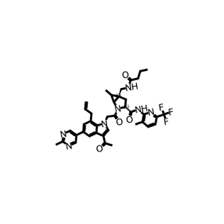 C=CCc1cc(-c2cnc(C)nc2)cc2c(C(C)=O)cn(CC(=O)N3C4C(C)[C@]4(CNC(=O)CCC)C[C@H]3C(=O)Nc3nc(C(F)(F)F)ccc3C)c12